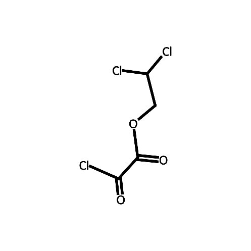 O=C(Cl)C(=O)OCC(Cl)Cl